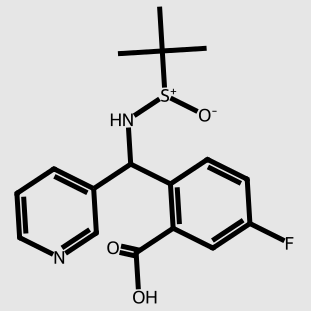 CC(C)(C)[S+]([O-])NC(c1cccnc1)c1ccc(F)cc1C(=O)O